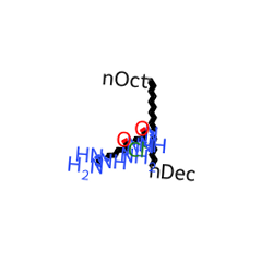 CCCCCCCC/C=C\CCCCCCCCN(CCCCCCCCCCCCCCCC)C(=O)C(CNC(=O)C(N)CCCNC(=N)N)NCl